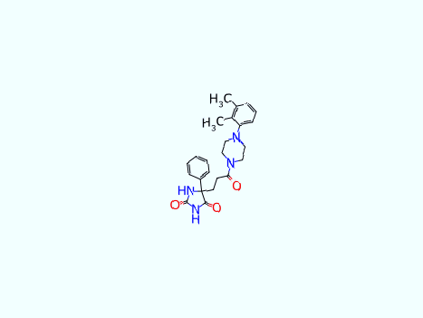 Cc1cccc(N2CCN(C(=O)CCC3(c4ccccc4)NC(=O)NC3=O)CC2)c1C